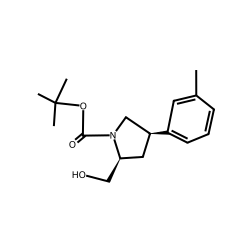 Cc1cccc([C@H]2C[C@@H](CO)N(C(=O)OC(C)(C)C)C2)c1